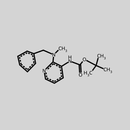 CN(Cc1ccccc1)c1ncccc1NC(=O)OC(C)(C)C